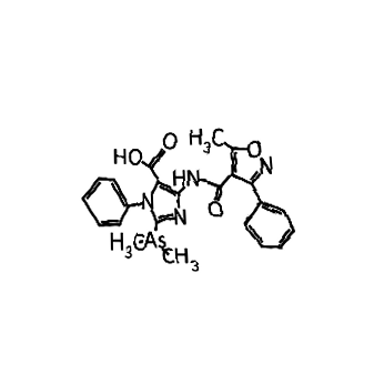 Cc1onc(-c2ccccc2)c1C(=O)Nc1nc([As](C)C)n(-c2ccccc2)c1C(=O)O